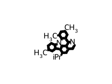 Cc1ccc2c(c1)c1c(C(C)C)cc3ccnc4c5cc(C)cc(C)c5n2c1c34